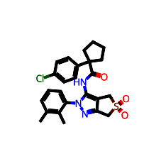 Cc1cccc(-n2nc3c(c2NC(=O)C2(c4ccc(Cl)cc4)CCCC2)CS(=O)(=O)C3)c1C